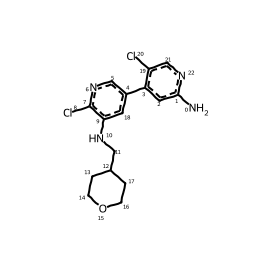 Nc1cc(-c2cnc(Cl)c(NCC3CCOCC3)c2)c(Cl)cn1